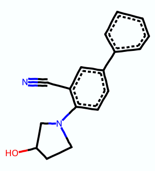 N#Cc1cc(-c2ccccc2)ccc1N1CCC(O)C1